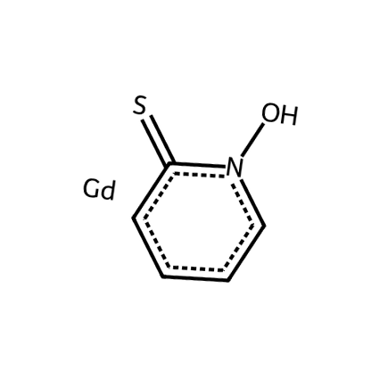 On1ccccc1=S.[Gd]